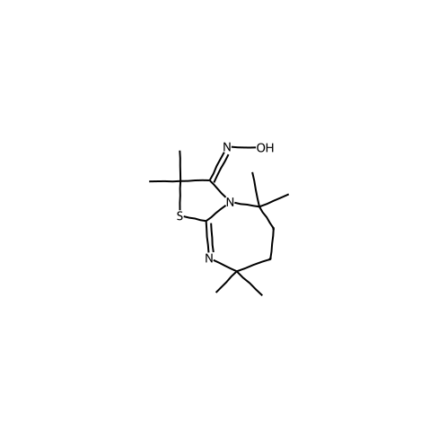 CC1(C)CCC(C)(C)N2C(=N1)SC(C)(C)/C2=N/O